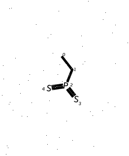 CCP(=S)=S